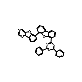 c1ccc(-c2nc(-c3ccccc3)nc(-c3cccc4c3sc3c(-c5cccc6c5oc5cncnc56)cccc34)n2)cc1